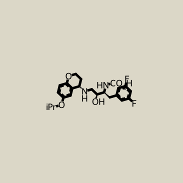 CC(C)Oc1ccc2c(c1)[C@@H](NC[C@H](O)[C@H](Cc1cc(F)cc(F)c1)NC(=O)O)CCO2